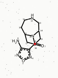 Nc1nonc1C(=O)N1C2CCNCC1COC2